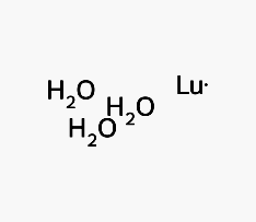 O.O.O.[Lu]